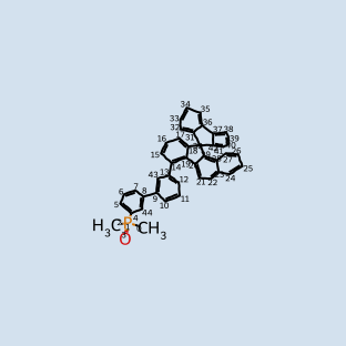 CP(C)(=O)c1cccc(-c2cccc(-c3cccc4c3-c3ccc5ccccc5c3C43c4ccccc4-c4ccccc43)c2)c1